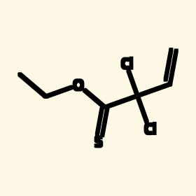 C=CC(Cl)(Cl)C(=S)OCC